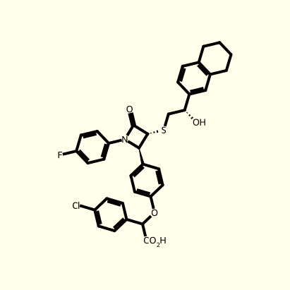 O=C(O)C(Oc1ccc([C@@H]2[C@@H](SC[C@@H](O)c3ccc4c(c3)CCCC4)C(=O)N2c2ccc(F)cc2)cc1)c1ccc(Cl)cc1